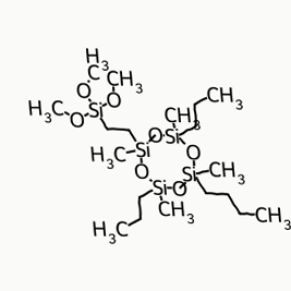 CCCC[Si]1(C)O[Si](C)(CCC)O[Si](C)(CC[Si](OC)(OC)OC)O[Si](C)(CCC)O1